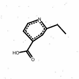 C[CH]c1cc(C(=O)O)ccn1